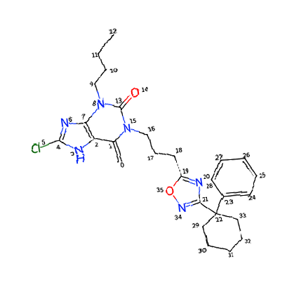 C=C1c2[nH]c(Cl)nc2N(CCCC)C(=O)N1CCCc1nc(C2(c3ccccc3)CCCCC2)no1